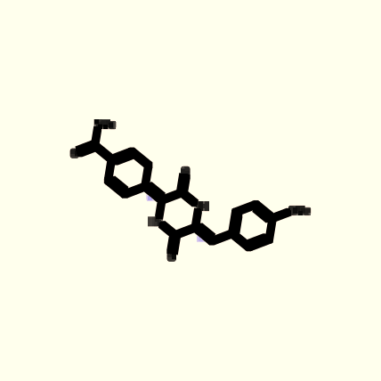 CNC(=O)C1=CC/C(=c2/[nH]c(=O)/c(=C/c3ccc(OC)cc3)[nH]c2=O)C=C1